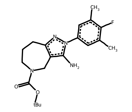 Cc1cc(-n2nc3c(c2N)CN(C(=O)OC(C)(C)C)CCC3)cc(C)c1F